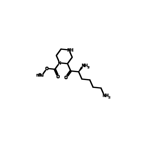 CCCCOC(=O)N1CCNCC1C(=O)[C@@H](N)CCCCN